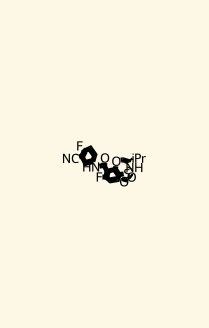 CC(C)[C@@H]1COc2c(ccc(F)c2C(=O)Nc2ccc(F)c(C#N)c2)S(=O)(=O)N1